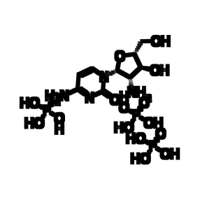 Nc1ccn([C@@H]2O[C@H](CO)[C@@H](O)[C@@H]2N)c(=O)n1.O=P(O)(O)O.O=P(O)(O)O.O=P(O)(O)O